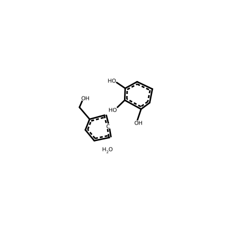 O.OCc1ccccc1.Oc1cccc(O)c1O